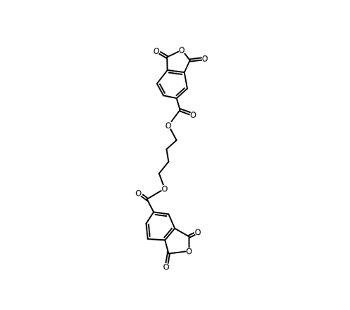 O=C(OCCCCOC(=O)c1ccc2c(c1)C(=O)OC2=O)c1ccc2c(c1)C(=O)OC2=O